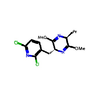 COC1=N[C@H](Cc2ccc(Cl)nc2Cl)C(OC)=N[C@H]1C(C)C